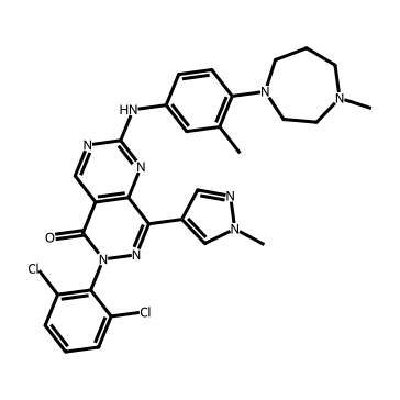 Cc1cc(Nc2ncc3c(=O)n(-c4c(Cl)cccc4Cl)nc(-c4cnn(C)c4)c3n2)ccc1N1CCCN(C)CC1